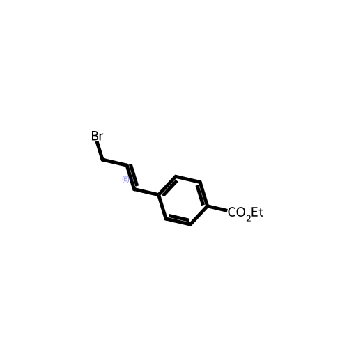 CCOC(=O)c1ccc(/C=C/CBr)cc1